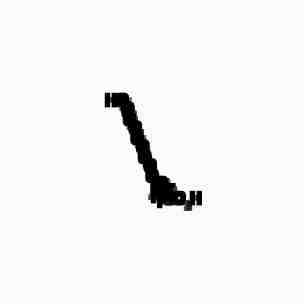 O=C(CCOCCOCCOCCOCCOCCOCCOCCOCCO)Oc1c(F)c(F)c(S(=O)(=O)O)c(F)c1F